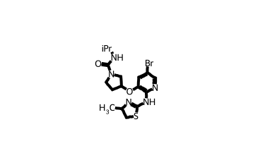 CC1CSC(Nc2ncc(Br)cc2OC2CCN(C(=O)NC(C)C)C2)=N1